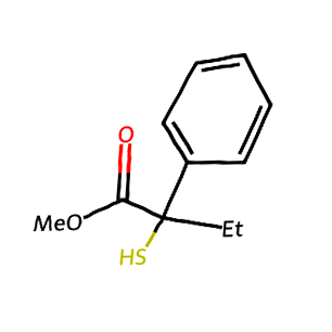 CCC(S)(C(=O)OC)c1ccccc1